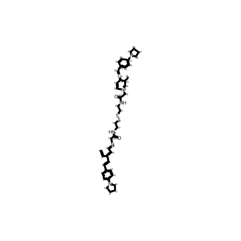 C=CC(/C=C/c1ccc(N2CCCC2)cc1)=C\C=N\CC(=O)NCCSSCCNC(=O)C[N+]1=CC(C)C(=C=CC2=C=C=C(N3CCCC3)C=C2)C=C1